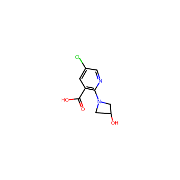 O=C(O)c1cc(Cl)cnc1N1CC(O)C1